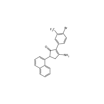 NC1=C(c2ccc(Br)c(C(F)(F)F)c2)C(=O)C(c2cccc3ccccc23)C1